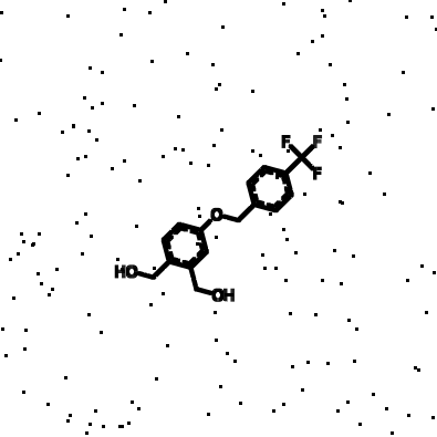 OCc1ccc(OCc2ccc(C(F)(F)F)cc2)cc1CO